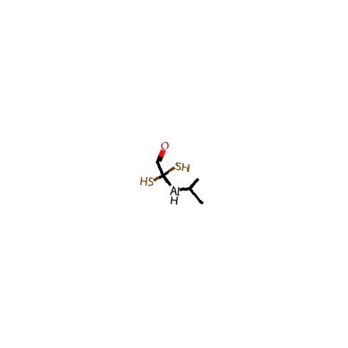 C[CH](C)[AlH][C](S)(S)C=O